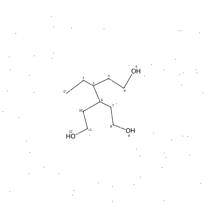 CCC(CCO)C(CCO)CCO